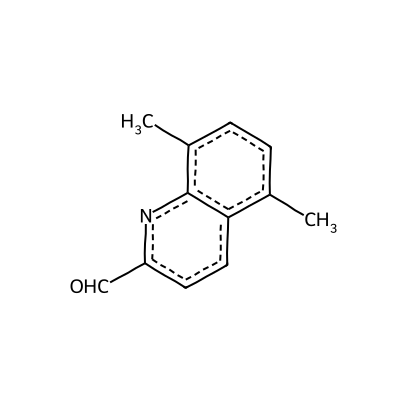 Cc1ccc(C)c2nc(C=O)ccc12